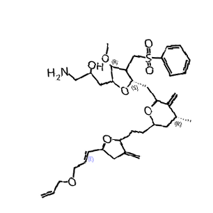 C=CCOC/C=C/C1CC(=C)C(CCC2C[C@@H](C)C(=C)C(C[C@@H]3OC(CC(O)CN)[C@H](OC)C3CS(=O)(=O)c3ccccc3)O2)O1